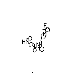 CC(=O)NC1CCN(C(=O)c2nn(CCC3CCN(c4cccc(F)c4C)CC3)c3c2CCCC3)CC1